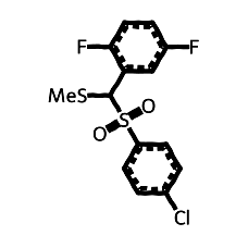 CSC(c1cc(F)ccc1F)S(=O)(=O)c1ccc(Cl)cc1